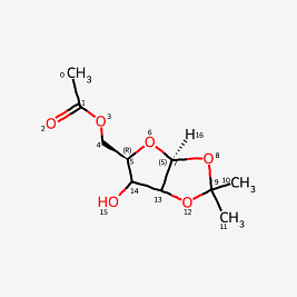 CC(=O)OC[C@H]1O[C@H]2OC(C)(C)OC2C1O